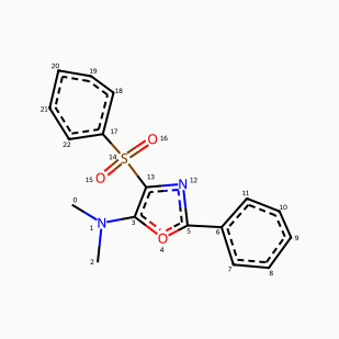 CN(C)c1oc(-c2ccccc2)nc1S(=O)(=O)c1ccccc1